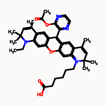 CCN1c2cc3c(cc2C(C)=CC1(C)C)C(c1nccnc1OC(C)=O)=c1cc2c(cc1O3)=[N+](CCCCCC(=O)O)C(C)(C)C=C2C